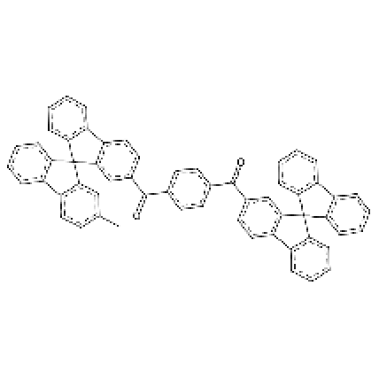 Cc1ccc2c(c1)C1(c3ccccc3-2)c2ccccc2-c2ccc(C(=O)c3ccc(C(=O)c4ccc5c(c4)C4(c6ccccc6-c6ccccc64)c4ccccc4-5)cc3)cc21